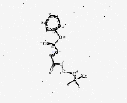 CCC(C)(C)OOOC(=O)/C=C/C(=O)Oc1ccccc1